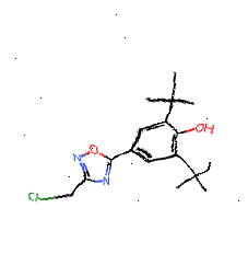 CC(C)(C)c1cc(-c2nc(CCl)no2)cc(C(C)(C)C)c1O